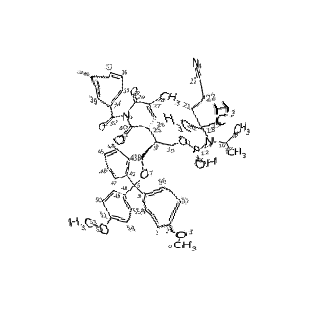 COc1ccc(C(OC[C@H](COP(O)N(C(C)C)C(C)(C)CCC#N)[C@H]2C=C(C)C(=O)N(C(=O)c3ccccc3)C2=O)(c2ccccc2)c2ccc(OC)cc2)cc1